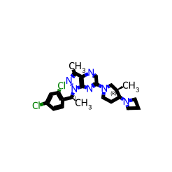 Cc1nn([C@H](C)c2ccc(Cl)cc2Cl)c2nc(N3CCC(N4CCC4)[C@H](C)C3)cnc12